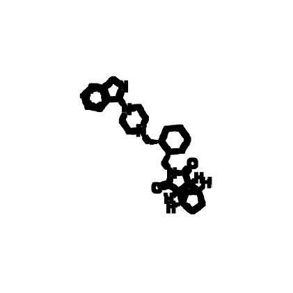 O=C1[C@@H]2[C@H]3CC[C@H](C3)[C@@H]2C(=O)N1C[C@@H]1CCCC[C@H]1CN1CCN(C2=NCc3ccccc32)CC1